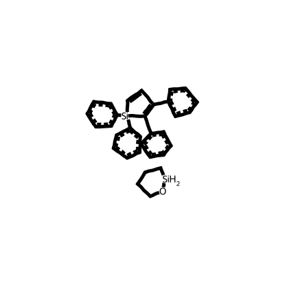 C1=C[Si](c2ccccc2)(c2ccccc2)C(c2ccccc2)=C1c1ccccc1.C1CC[SiH2]OC1